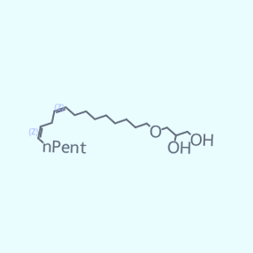 CCCCC/C=C\C/C=C\CCCCCCCCOCC(O)CO